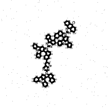 O=C1c2ccccc2-c2nc(-n3c4ccc5ccc(-c6ccc7nc(-n8c9ccc%10cc(-c%11cnc%12nc(-n%13c%14ccc%15ccccc%15c%14c%14c%15c%16ccccc%16n%16c%17ccccc%17c(cc%14%13)c%15%16)ncc%12c%11)ccc%10c9c9c%10c%11ccccc%11n%11c%12ccccc%12c(cc98)c%10%11)nc8c7c6-c6ccccc6-8)cc5c4c4c5c6ccccc6n6c7ccccc7c(cc43)c56)nc3cccc1c23